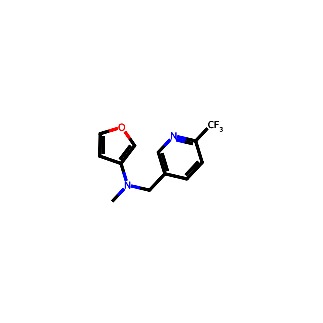 CN(Cc1ccc(C(F)(F)F)nc1)c1ccoc1